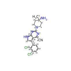 CC1(N)CCN(c2nc(C#N)c3c(-c4cccc(Cl)c4Cl)c[nH]c3n2)CC1